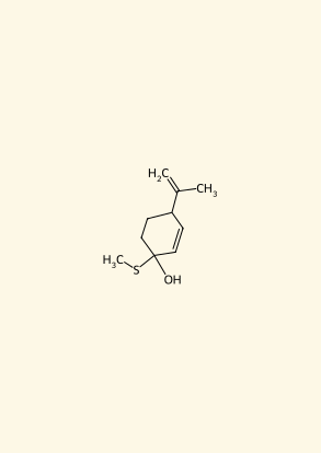 C=C(C)C1C=CC(O)(SC)CC1